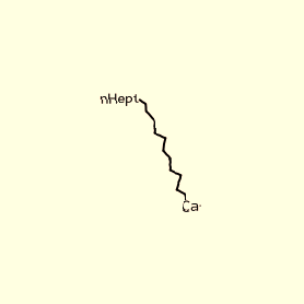 CCCCCCCCCCCCCCCCC[CH2][Ca]